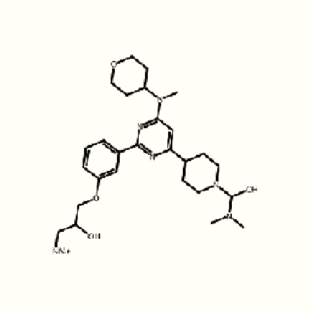 CNCC(O)COc1cccc(-c2nc(C3CCN(C(O)N(C)C)CC3)cc(N(C)C3CCOCC3)n2)c1